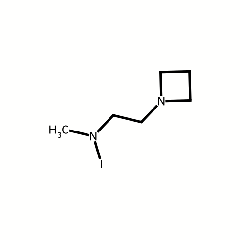 CN(I)CCN1CCC1